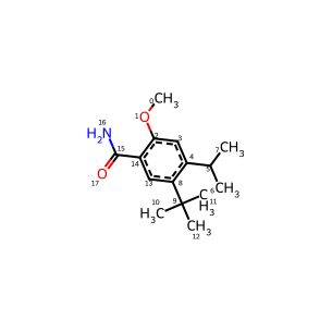 COc1cc(C(C)C)c(C(C)(C)C)cc1C(N)=O